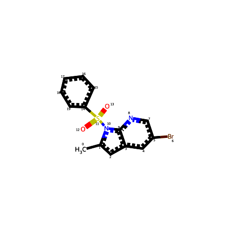 Cc1cc2cc(Br)cnc2n1S(=O)(=O)c1ccccc1